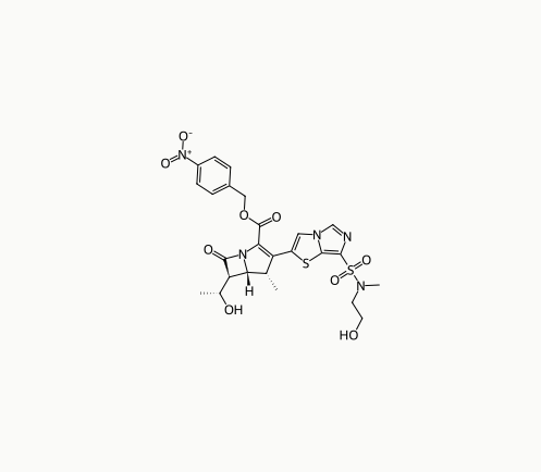 C[C@@H](O)[C@H]1C(=O)N2C(C(=O)OCc3ccc([N+](=O)[O-])cc3)=C(c3cn4cnc(S(=O)(=O)N(C)CCO)c4s3)[C@H](C)[C@H]12